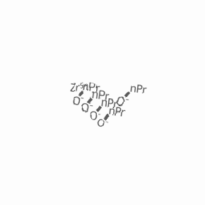 CCC[O-].CCC[O-].CCC[O-].CCC[O-].CCC[O-].[Zr+5]